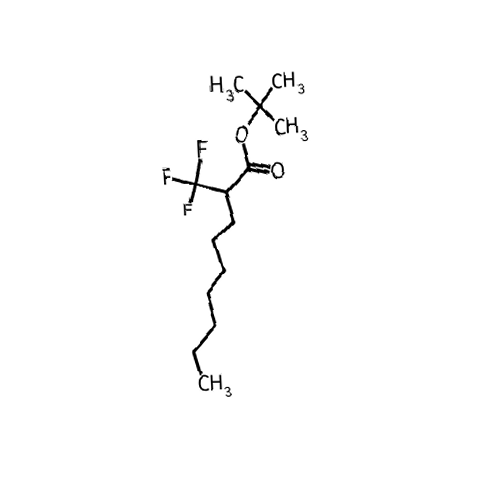 CCCCCCCC(C(=O)OC(C)(C)C)C(F)(F)F